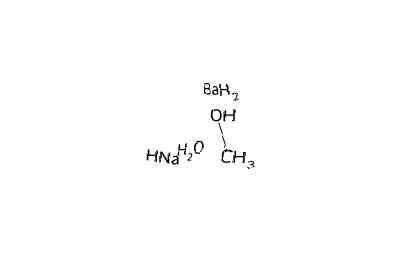 CO.O.[BaH2].[NaH]